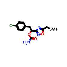 CSCc1nc(C(Cc2ccc(Cl)cc2)OC(N)=O)no1